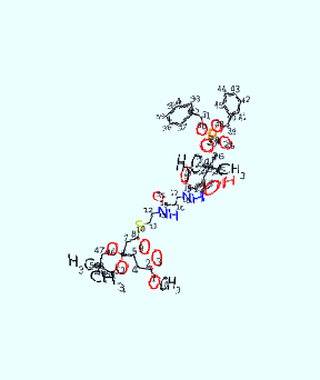 COC(=O)CCC1(CC(=O)SCCNC(=O)CCNC(=O)[C@H](O)C(C)(C)COP(=O)(OCc2ccccc2)OCc2ccccc2)OCC(C)(C)CO1